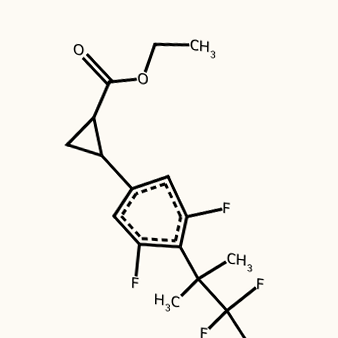 CCOC(=O)C1CC1c1cc(F)c(C(C)(C)C(F)(F)F)c(F)c1